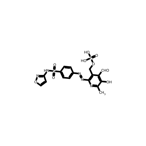 Cc1nc(N=Nc2ccc(S(=O)(=O)Nc3ccon3)cc2)c(COP(=O)(O)O)c(C=O)c1O